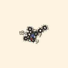 CC(C)(C)c1c2c(c(N(c3ccccc3)c3ccc(-c4ccc(-c5ccccc5)cc4)cc3)c3c1-c1ccccc1C3(C)C)C(C)(C)c1ccccc1-2